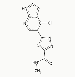 CNC(=O)c1nnc(-c2cnc3[nH]ccc3c2Cl)s1